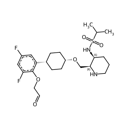 CC(C)S(=O)(=O)N[C@H]1CCCN[C@H]1CO[C@H]1CC[C@@H](c2cc(F)cc(F)c2OCC=O)CC1